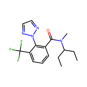 CCC(CC)N(C)C(=O)c1cccc(C(F)(F)F)c1-n1nccn1